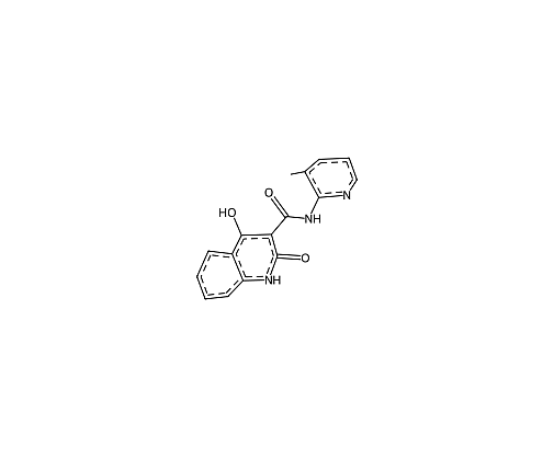 Cc1cccnc1NC(=O)c1c(O)c2ccccc2[nH]c1=O